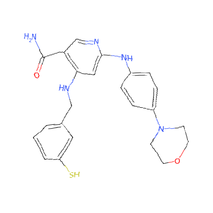 NC(=O)c1cnc(Nc2ccc(N3CCOCC3)cc2)cc1NCc1cccc(S)c1